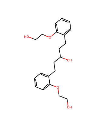 OCCOc1ccccc1CCC(O)CCc1ccccc1OCCO